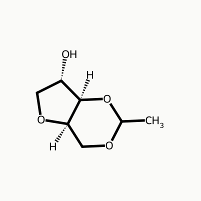 CC1OC[C@H]2OC[C@H](O)[C@H]2O1